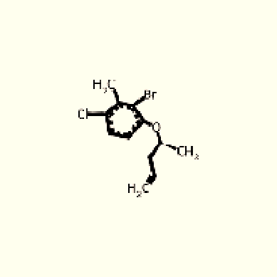 C=CC[C@H](C)Oc1ccc(Cl)c(C)c1Br